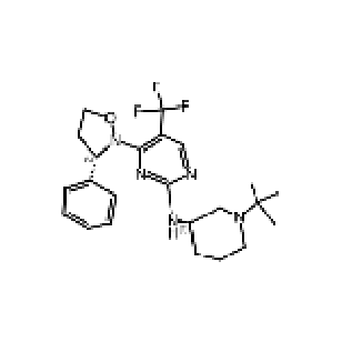 CC(C)(C)N1CCC[C@@H](Nc2ncc(C(F)(F)F)c(N3OCC[C@H]3c3ccccc3)n2)C1